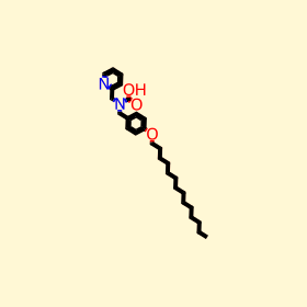 CCCCCCCCCCCCCCOc1ccc(CN(Cc2ccccn2)C(=O)O)cc1